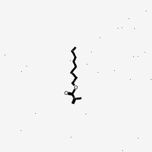 C=C(C)C(=O)OCCCCCCCC